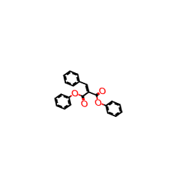 O=C(Oc1ccccc1)C(=Cc1ccccc1)C(=O)Oc1ccccc1